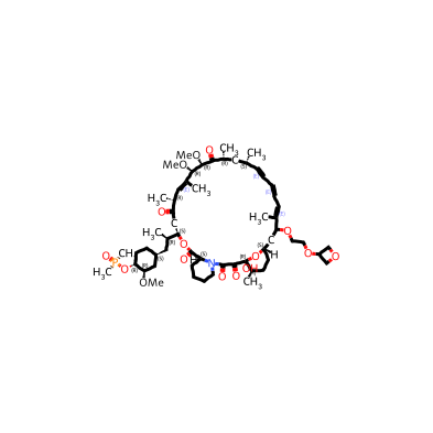 CO[C@@H]1/C(C)=C/[C@@H](C)C(=O)C[C@@H]([C@H](C)C[C@@H]2CC[C@@H](OP(C)(C)=O)[C@H](OC)C2)OC(=O)[C@@H]2CCCCN2C(=O)C(=O)[C@]2(O)O[C@@H](CC[C@H]2C)CC(OCCOC2COC2)/C(C)=C/C=C/C=C/[C@@H](C)C[C@@H](C)C(=O)[C@@H]1OC